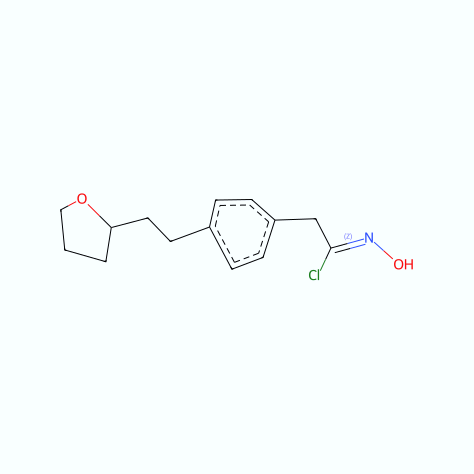 O/N=C(\Cl)Cc1ccc(CCC2CCCO2)cc1